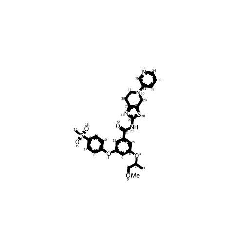 COCC(C)Oc1cc(Oc2ccc(S(C)(=O)=O)cc2)cc(C(=O)Nc2nc3c(s2)CN(c2cccnc2)CC3)c1